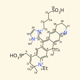 CCN1c2cc3c(cc2C(CS(=O)(=O)O)=CC1(C)C)C(c1n(C)cc[n+]1CCCCS(=O)(=O)O)=c1cc2c(cc1C3(C)C)=NCCC2